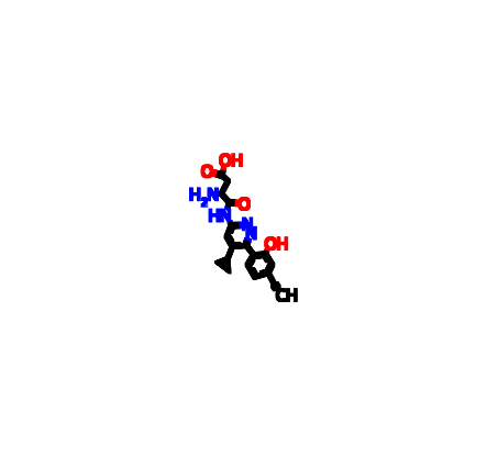 C#Cc1ccc(-c2nnc(NC(=O)[C@H](N)CC(=O)O)cc2C2CC2)c(O)c1